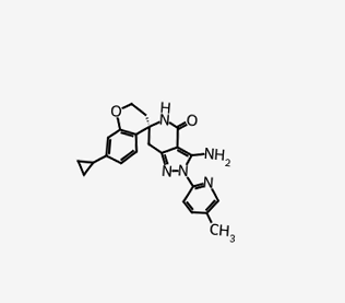 Cc1ccc(-n2nc3c(c2N)C(=O)N[C@@]2(CCOc4cc(C5CC5)ccc42)C3)nc1